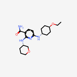 CCO[C@H]1CC[C@H](Nc2ccc(C(N)=O)c(N[C@H]3CCCOC3)n2)CC1